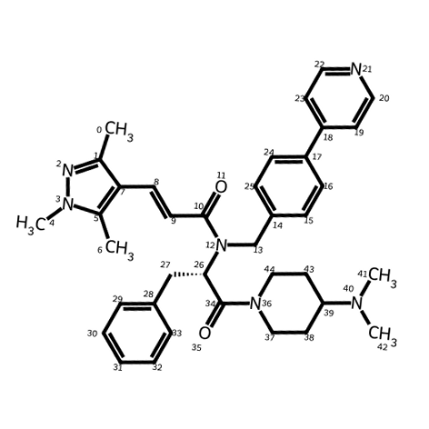 Cc1nn(C)c(C)c1/C=C/C(=O)N(Cc1ccc(-c2ccncc2)cc1)[C@@H](Cc1ccccc1)C(=O)N1CCC(N(C)C)CC1